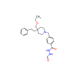 CCOCC1(CCc2ccccc2)CCN(Cc2ccc(C(=O)NNC=O)cc2)CC1